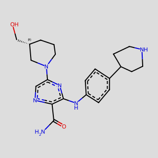 NC(=O)c1ncc(N2CCC[C@@H](CO)C2)nc1Nc1ccc(C2CCNCC2)cc1